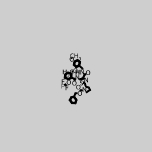 COc1ccc(CNC(=O)c2nc(C3CCCN3C(=O)OCc3ccccc3)sc2NC(=O)c2ccccc2OC(F)(F)F)c(OC)c1